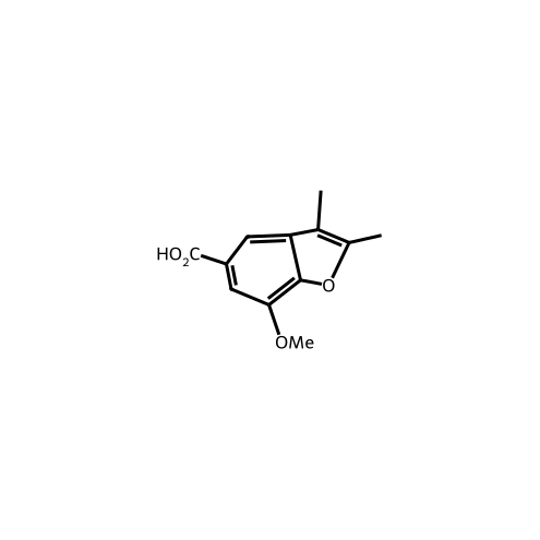 COc1cc(C(=O)O)cc2c(C)c(C)oc12